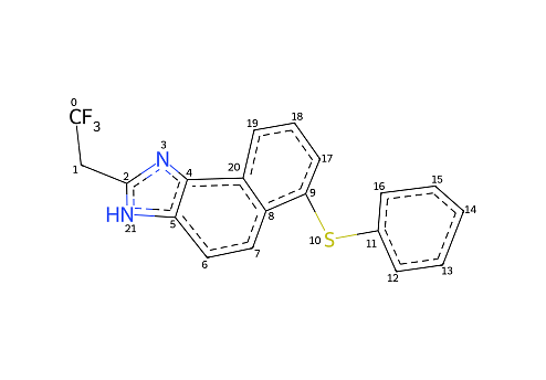 FC(F)(F)Cc1nc2c(ccc3c(Sc4ccccc4)cccc32)[nH]1